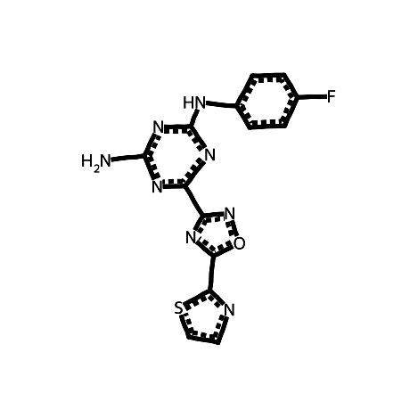 Nc1nc(Nc2ccc(F)cc2)nc(-c2noc(-c3nccs3)n2)n1